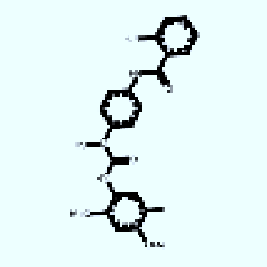 COc1cc(OC)c(NC(=O)N(S)c2ccc(NC(=O)c3ccccc3N)cc2)cc1Cl